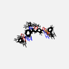 [2H]C([2H])([2H])Oc1cc(C(=O)NS(=O)(=O)c2ccccc2C([2H])([2H])[2H])ccc1Cc1cn(C([2H])([2H])[2H])c2ccc(NC(=O)OC3([2H])C([2H])([2H])CCC3([2H])[2H])cc12